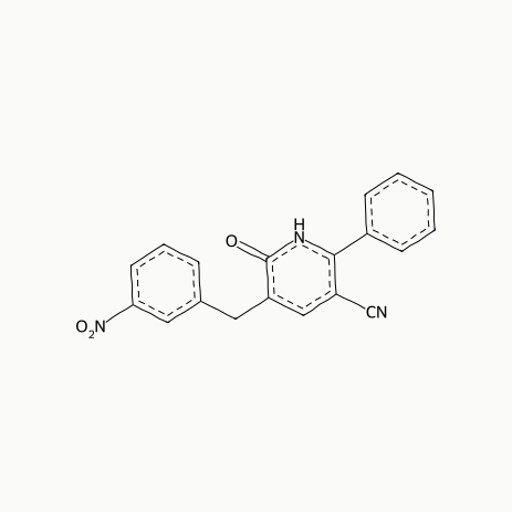 N#Cc1cc(Cc2cccc([N+](=O)[O-])c2)c(=O)[nH]c1-c1ccccc1